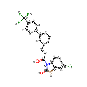 O=C(C=Cc1cccc(-c2ccc(C(F)(F)F)cc2)c1)n1c(=O)sc2cc(Cl)ccc21